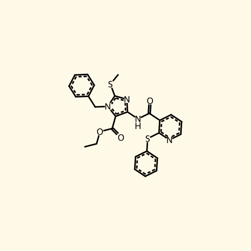 CCOC(=O)c1c(NC(=O)c2cccnc2Sc2ccccc2)nc(SC)n1Cc1ccccc1